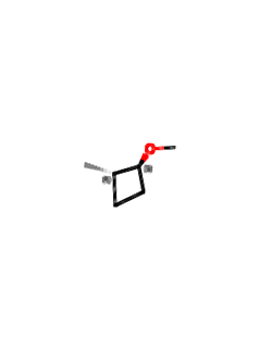 CO[C@H]1CC[C@@H]1C